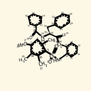 COc1cc(C)c(S(=O)(=O)Nc2ccccc2OC(=O)[C@H](Cc2ccccc2)NC(=O)c2ccccc2)c(C)c1C